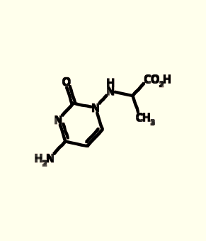 CC(Nn1ccc(N)nc1=O)C(=O)O